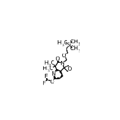 CC1(C)C(=O)N(COCC[Si](C)(C)C)C2(COC2)c2ccc(OC(F)F)nc21